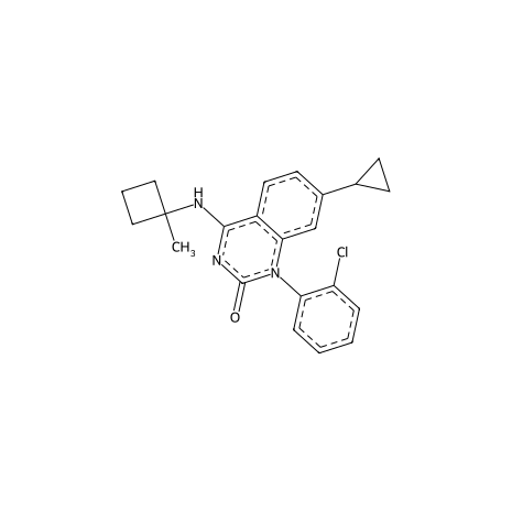 CC1(Nc2nc(=O)n(-c3ccccc3Cl)c3cc(C4CC4)ccc23)CCC1